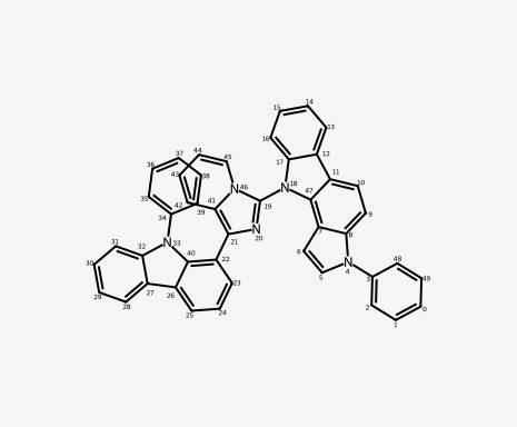 c1ccc(-n2ccc3c2ccc2c4ccccc4n(-c4nc(-c5cccc6c7ccccc7n(-c7ccccc7)c56)c5ccccn45)c23)cc1